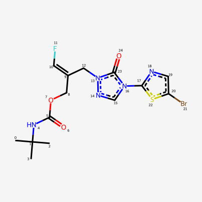 CC(C)(C)NC(=O)OC/C(=C/F)Cn1ncn(-c2ncc(Br)s2)c1=O